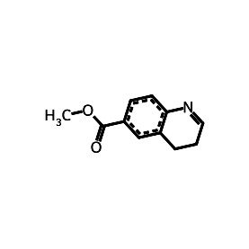 COC(=O)c1ccc2c(c1)CCC=N2